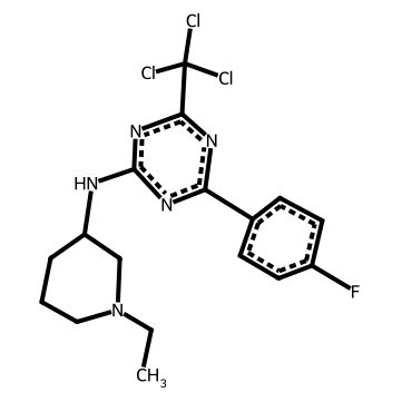 CCN1CCCC(Nc2nc(-c3ccc(F)cc3)nc(C(Cl)(Cl)Cl)n2)C1